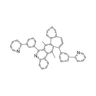 Cc1c2c(c(C)c3c1c(-c1cccc(-c4ccccn4)c1)nc1ccccc13)C(c1cccc(-c3ccccn3)c1)=C=Cc1ccccc1-2